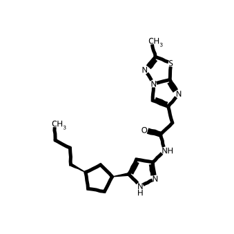 CCCC[C@@H]1CC[C@H](c2cc(NC(=O)Cc3cn4nc(C)sc4n3)n[nH]2)C1